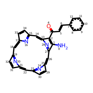 NC1=C(C(=O)C=Cc2ccccc2)C2=CC3=NC(=CC4=NC(=CC5=NC(=CC1=N2)C=C5)C=C4)C=C3